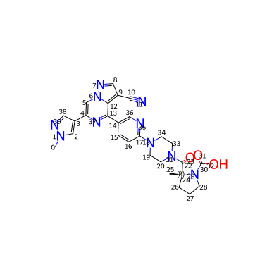 Cn1cc(-c2cn3ncc(C#N)c3c(-c3ccc(N4CCN(C(=O)[C@@]5(C)CCCN5C(=O)O)CC4)nc3)n2)cn1